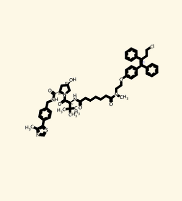 Cc1ncsc1-c1ccc(CNC(=O)[C@@H]2C[C@@H](O)CN2C(=O)[C@@H](NC(=O)CCCCCC(=O)N(C)CCOc2ccc(/C(=C(/CCCl)c3ccccc3)c3ccccc3)cc2)C(C)(C)C)cc1